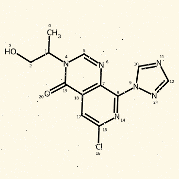 CC(CO)n1cnc2c(-n3cncn3)nc(Cl)cc2c1=O